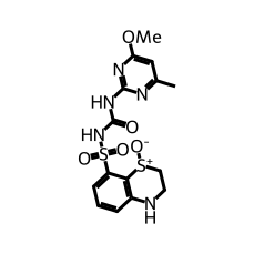 COc1cc(C)nc(NC(=O)NS(=O)(=O)c2cccc3c2[S+]([O-])CCN3)n1